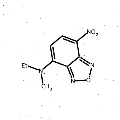 CCN(C)c1ccc([N+](=O)[O-])c2nonc12